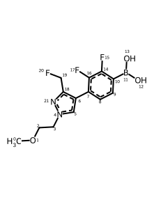 COCCn1cc(-c2ccc(B(O)O)c(F)c2F)c(CF)n1